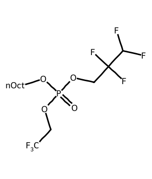 CCCCCCCCOP(=O)(OCC(F)(F)F)OCC(F)(F)C(F)F